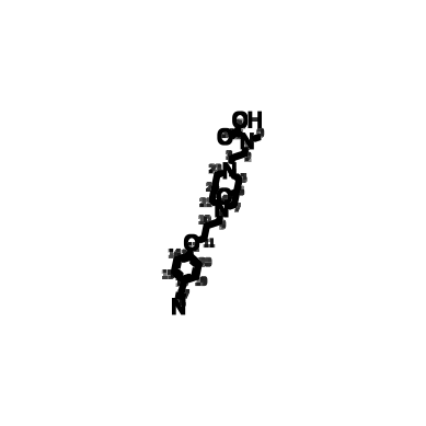 CN(CCN1CC2CN(CCCOc3ccc(C#N)cc3)CC(C1)O2)C(=O)O